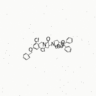 CC(C)(C)[Si](OC1CCN(C2CCN(Cc3c(Cl)cc(OCc4ccccc4)cc3Cl)C2=O)CC1)(c1ccccc1)c1ccccc1